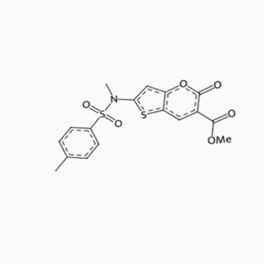 COC(=O)c1cc2sc(N(C)S(=O)(=O)c3ccc(C)cc3)cc2oc1=O